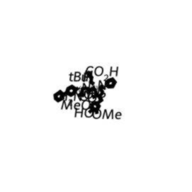 COc1cc(C=C2SC(=Nc3ccccc3)N([C@@H](CCCN(C(=O)O)C(C)(C)C)C(=O)N[C@@H](Cc3ccc(-c4ccccc4)cc3)C(N)=O)C2=O)cc(OC)c1O